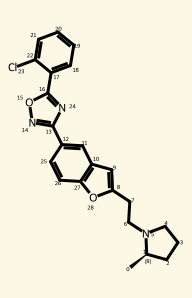 C[C@@H]1CCCN1CCc1cc2cc(-c3noc(-c4ccccc4Cl)n3)ccc2o1